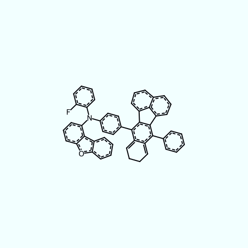 Fc1ccccc1N(c1ccc(-c2c3c(c(-c4ccccc4)c4c2=CCCC=4)-c2cccc4cccc-3c24)cc1)c1cccc2oc3ccccc3c12